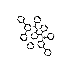 c1ccc(-c2cc(-c3ccccc3)cc(N(c3ccccc3)c3c4ccccc4c(N(c4ccccc4)c4cc(-c5ccccc5)cc(-c5ccccc5)c4)c4ccccc34)c2)cc1